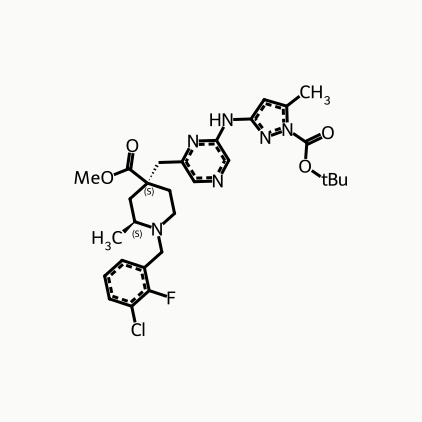 COC(=O)[C@@]1(Cc2cncc(Nc3cc(C)n(C(=O)OC(C)(C)C)n3)n2)CCN(Cc2cccc(Cl)c2F)[C@@H](C)C1